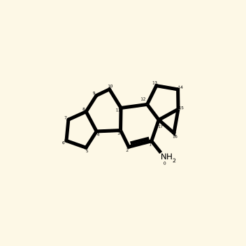 NC1=CC2C3CCCC3CCC2C2CCC3CC132